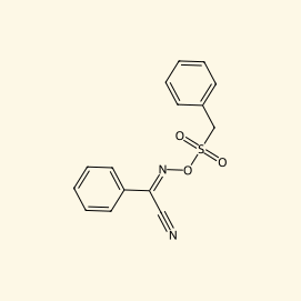 N#CC(=NOS(=O)(=O)Cc1ccccc1)c1ccccc1